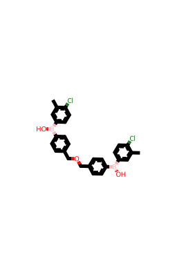 Cc1cc(B(O)c2ccc(COCc3ccc(B(O)c4ccc(Cl)c(C)c4)cc3)cc2)ccc1Cl